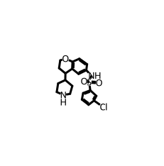 O=S(=O)(Nc1ccc2c(c1)C(C1CCNCC1)CCO2)c1cccc(Cl)c1